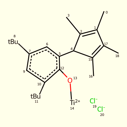 CC1=C(C)C(c2cc(C(C)(C)C)cc(C(C)(C)C)c2[O][Ti+2])C(C)=C1C.[Cl-].[Cl-]